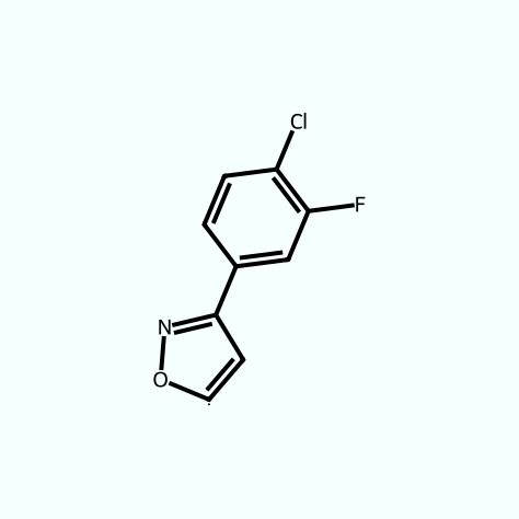 Fc1cc(-c2c[c]on2)ccc1Cl